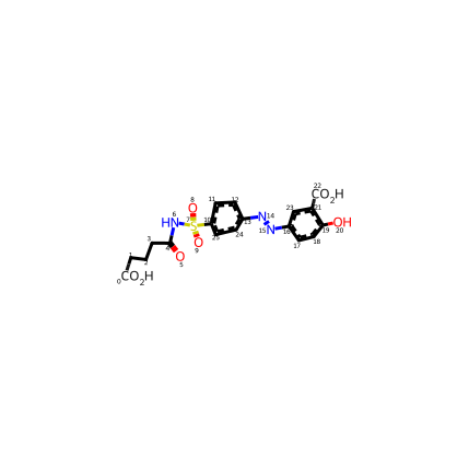 O=C(O)CCCC(=O)NS(=O)(=O)c1ccc(N=Nc2ccc(O)c(C(=O)O)c2)cc1